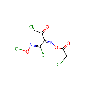 O=C(CCl)ON=C(C(=O)CCl)C(Cl)=NOCl